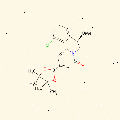 CO[C@@H](Cn1ccc(B2OC(C)(C)C(C)(C)O2)cc1=O)c1cccc(Cl)c1